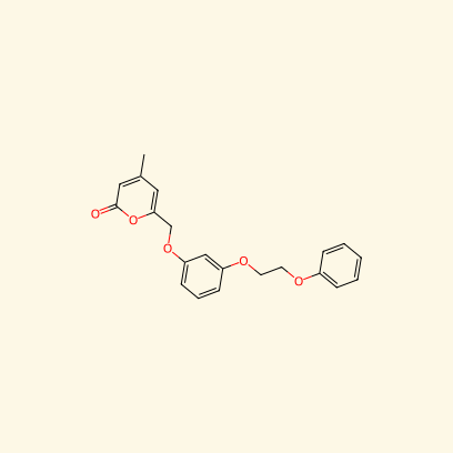 Cc1cc(COc2cccc(OCCOc3ccccc3)c2)oc(=O)c1